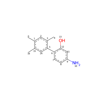 Cc1cc(C)c(-c2ccc(N)cc2O)cc1C